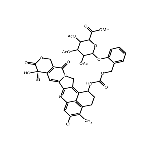 CC[C@@]1(O)C(=O)OCc2c1cc1n(c2=O)Cc2c-1nc1cc(Cl)c(C)c3c1c2C(NC(=O)OCc1ccccc1OC1OC(C(=O)OC)C(OC(C)=O)C(OC(C)=O)C1OC(C)=O)CC3